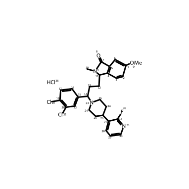 COc1ccc2c(c1)C(=O)N(C)C2CCC(c1ccc(Cl)c(Cl)c1)N1CCC(c2cccnc2F)CC1.Cl